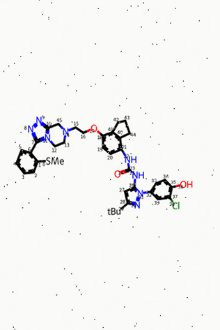 CSc1ccccc1-c1nnc2n1CCN(CCOc1ccc(NC(=O)Nc3cc(C(C)(C)C)nn3-c3ccc(O)c(Cl)c3)c3c1CCC3)C2